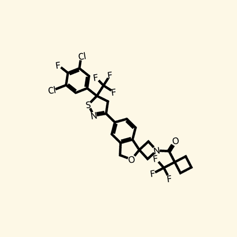 O=C(N1CC2(C1)OCc1cc(C3=NSC(c4cc(Cl)c(F)c(Cl)c4)(C(F)(F)F)C3)ccc12)C1(C(F)(F)F)CCC1